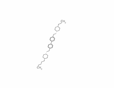 CCCCC[C@H]1CC[C@H](CCc2ccc(-c3ccc(CC[C@H]4CC[C@H](CCC)CC4)cc3)cc2)CC1